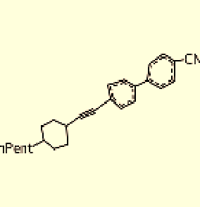 CCCCCC1CCC(C#Cc2ccc(-c3ccc(C#N)cc3)cc2)CC1